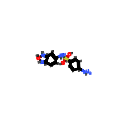 Nc1ccc(S(=O)(=O)Nc2ccc3nonc3c2)cc1